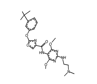 COc1nc(NCCN(C)C)nc(OC)c1NC(=O)c1coc(Oc2cccc(C(C)(C)C)c2)n1